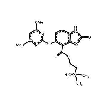 COc1cc(OC)nc(Oc2ccc3[nH]c(=O)oc3c2C(=O)OCC[Si](C)(C)C)n1